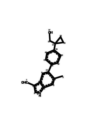 Cc1cc2[nH]cc(C=O)c2cc1-c1ccc(C2(CO)CC2)cc1